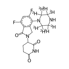 [2H]C1([2H])NC([2H])([2H])C([2H])([2H])N(c2c(F)cc(F)c3c2CN(C2CCC(=O)NC2=O)C3=O)C1([2H])[2H]